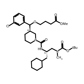 COC(=O)CCCOC(c1cccc(Cl)c1)[C@@H]1CCCN(C(=O)N[C@@H](CC2CCCCC2)CN(C)C(=O)OC(C)(C)C)C1